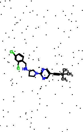 C[Si](C)(C)C#Cc1cnc(N2CC[C@H](NCc3ccc(Cl)cc3Cl)C2)nc1